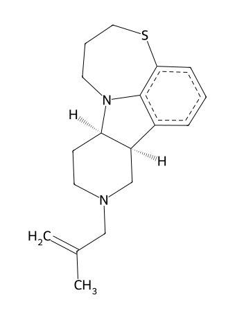 C=C(C)CN1CC[C@@H]2[C@H](C1)c1cccc3c1N2CCCS3